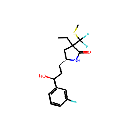 CCC1(C(F)(F)SC)C[C@@H](CCC(O)c2cccc(F)c2)NC1=O